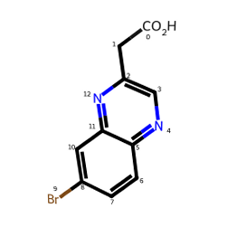 O=C(O)Cc1cnc2ccc(Br)cc2n1